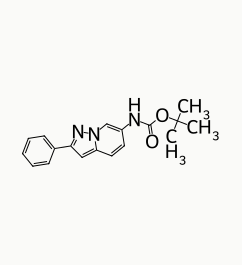 CC(C)(C)OC(=O)Nc1ccc2cc(-c3ccccc3)nn2c1